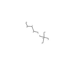 CC(C)(C)C.CCCCC